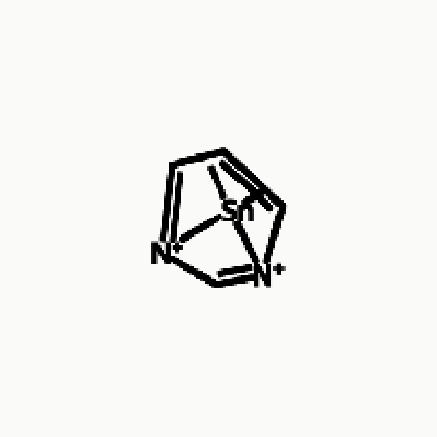 [CH3][Sn]1([CH3])[n+]2ccc[n+]1c2